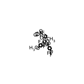 COc1cc(F)c([C@@H]2CN(c3c(C)ccn(C(F)(F)C(=O)N4CCOCC4)c3=O)C(=O)[C@H]2NC(=O)c2ccc(OC(F)F)cc2)c(F)c1